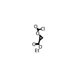 CCOC(=O)C1CC1OC(=O)Cl